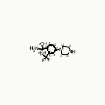 CC(C)(N)c1ccc(N2CCNCC2)cc1C(F)(F)F